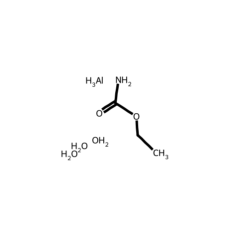 CCOC(N)=O.O.O.O.[AlH3]